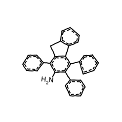 Nc1c(-c2ccccc2)c2c(c(-c3ccccc3)c1-c1ccccc1)-c1ccccc1C2